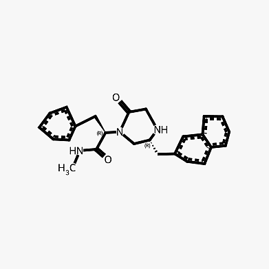 CNC(=O)[C@@H](Cc1ccccc1)N1C[C@@H](Cc2ccc3ccccc3c2)NCC1=O